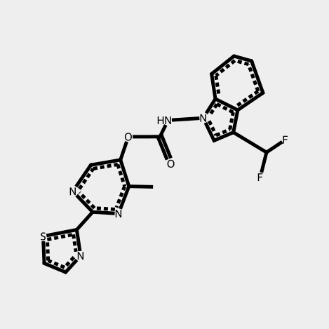 Cc1nc(-c2nccs2)ncc1OC(=O)Nn1cc(C(F)F)c2ccccc21